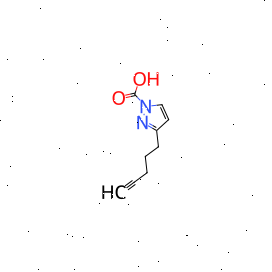 C#CCCCc1ccn(C(=O)O)n1